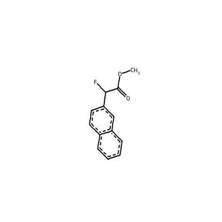 COC(=O)C(F)c1ccc2ccccc2c1